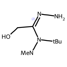 CNN(/C(CO)=N\N)C(C)(C)C